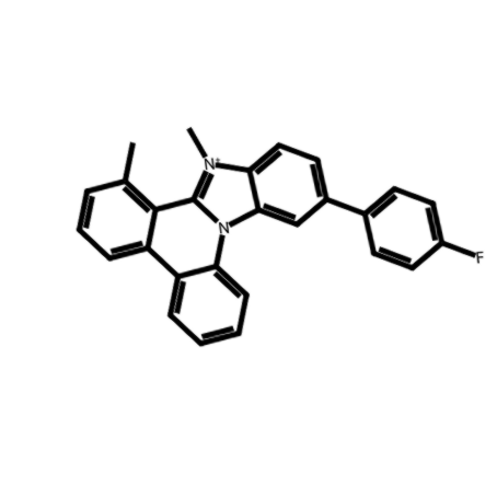 Cc1cccc2c3ccccc3n3c4cc(-c5ccc(F)cc5)ccc4[n+](C)c3c12